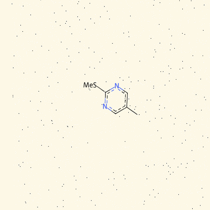 [CH2]c1cnc(SC)nc1